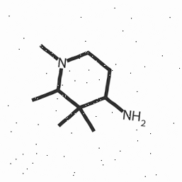 CC1N(C)CCC(N)C1(C)C